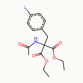 CCOC(=O)C(Cc1ccc(I)cc1)(NC(C)=O)C(=O)OCC